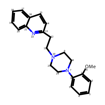 COc1ccccc1N1CCN(CCc2ccc3ccccc3n2)CC1